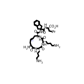 CC(C)C[C@H](NC(=O)C1(NC(=O)[C@@H]2C/C=C/C[C@H](N)C(=O)N[C@@H](CCCCN)C(=O)N[C@@H](CCCCN)C(=O)N2)Cc2ccccc2C1)C(=O)O